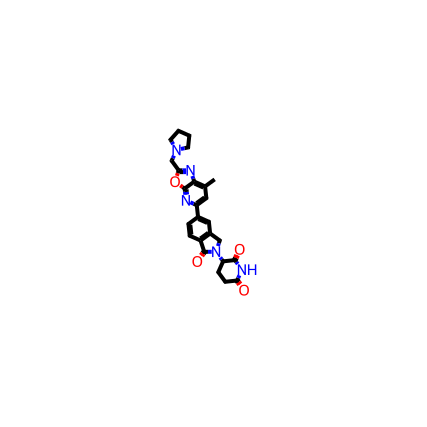 Cc1cc(-c2ccc3c(c2)CN(C2CCC(=O)NC2=O)C3=O)nc2oc(CN3CCCC3)nc12